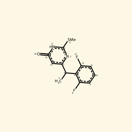 CSc1nc(C(C)c2c(F)cccc2F)cc(=O)[nH]1